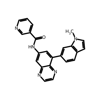 Cn1ccc2ccc(-c3cc(NC(=O)c4cccnc4)cc4nccnc34)cc21